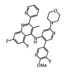 COc1ncc(-c2cnc(N3CCOCC3)cc2Nc2c(C)c(-c3ccccn3)nc3cc(F)cc(F)c23)cc1F